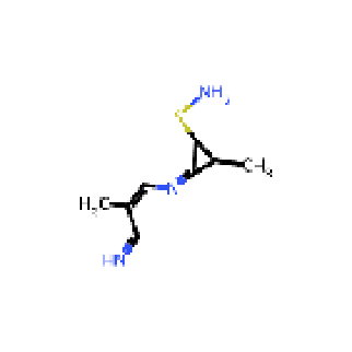 C/C(C=N)=C/N=C1/C(C)C1SN